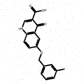 O=C(O)c1c[nH]c2ccc(OCc3cccc(F)c3)cc2c1=O